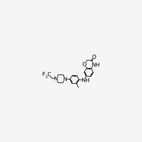 Cc1cc(N2CCN(CC(F)(F)F)CC2)ccc1Nc1ccc2c(c1)OCC(=O)N2